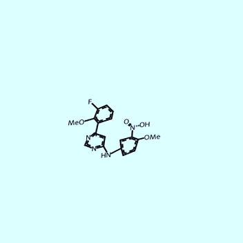 COc1ccc(Nc2cc(-c3cccc(F)c3OC)ncn2)cc1[N+](=O)O